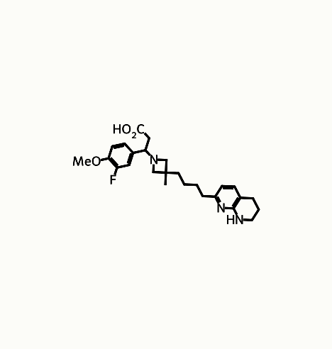 COc1ccc(C(CC(=O)O)N2CC(C)(CCCCc3ccc4c(n3)NCCC4)C2)cc1F